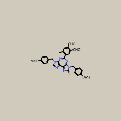 COc1ccc(Cn2c3nc(-c4cc(C=O)c(C=O)cc4C)nc4c(ncn4Cc4ccc(OC)cc4)c-3nc2=O)cc1